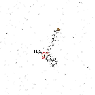 CCOC(=O)C1(OCCCCCCCCCCCCBr)C=CC(c2ccccc2)C=C1